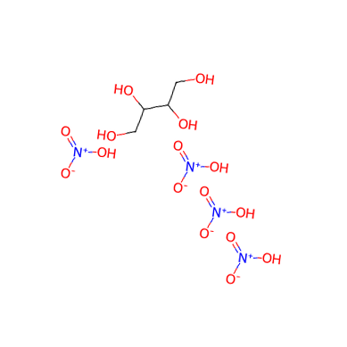 O=[N+]([O-])O.O=[N+]([O-])O.O=[N+]([O-])O.O=[N+]([O-])O.OCC(O)C(O)CO